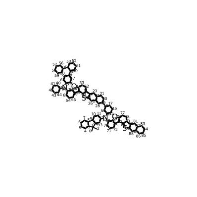 CC1(C)c2ccccc2-c2ccc(N(c3cccc(-c4ccc5cc6c(cc5c4)sc4c6ccc5oc6c(N(c7ccccc7)c7ccc(-c8ccccc8-c8ccccc8)cc7)cccc6c54)c3)c3cccc4c3oc3ccc5c6cc7ccccc7cc6sc5c34)cc21